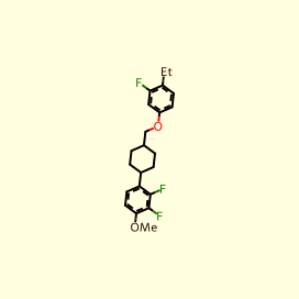 CCc1ccc(OCC2CCC(c3ccc(OC)c(F)c3F)CC2)cc1F